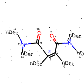 CCCCCCCCCC/C(C(=O)N(CCCCCCCCCC)CCCCCCCCCC)=C(\CCCCCCCCCC)C(=O)N(CCCCCCCCCC)CCCCCCCCCC